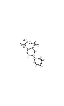 CS(=O)(=O)c1cc(-c2ccccc2)ccc1C(=O)O